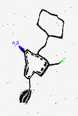 C#Cc1cc(N)c(C2CCCCC2)c(Cl)c1